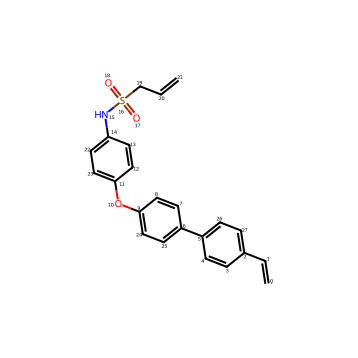 [CH]=Cc1ccc(-c2ccc(Oc3ccc(NS(=O)(=O)CC=C)cc3)cc2)cc1